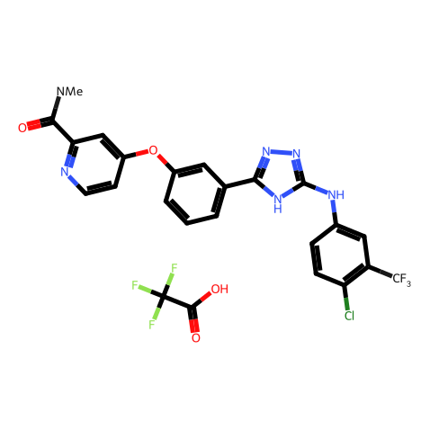 CNC(=O)c1cc(Oc2cccc(-c3nnc(Nc4ccc(Cl)c(C(F)(F)F)c4)[nH]3)c2)ccn1.O=C(O)C(F)(F)F